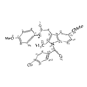 COc1ccc(SC(=O)Cc2c(C)n(C(=O)c3ccc(Cl)cc3)c3ccc(OC)cc23)cc1